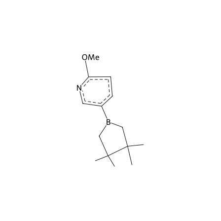 COc1ccc(B2CC(C)(C)C(C)(C)C2)cn1